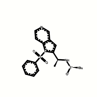 C[C@H](N[S@+]([O-])C(C)(C)C)c1cc2cnccc2n1S(=O)(=O)c1ccccc1